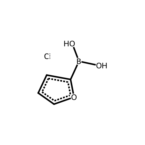 OB(O)c1ccco1.[C]